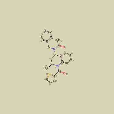 CC(=O)N(Cc1ccccc1)[C@H]1C[C@H](C)N(C(=O)c2cccs2)c2ccccc21